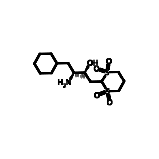 N[C@@H](CC1CCCCC1)[C@@H](O)CC1S(=O)(=O)CCCS1(=O)=O